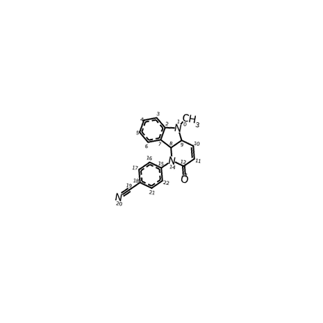 CN1c2ccccc2C2C1C=CC(=O)N2c1ccc(C#N)cc1